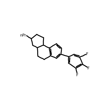 CCCC1CCC2c3ccc(-c4cc(F)c(F)c(F)c4)cc3CCC2C1